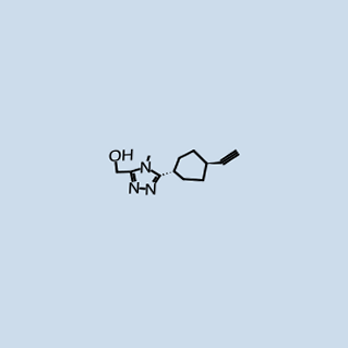 C#C[C@H]1CC[C@H](c2nnc(CO)n2C)CC1